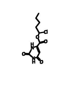 CCCCC(Cl)OC(=O)c1cc(=O)[nH]c(=O)[nH]1